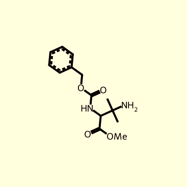 COC(=O)C(NC(=O)OCc1ccccc1)C(C)(C)N